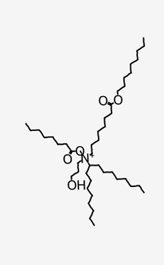 CCCCCCCCCOC(=O)CCCCCCC[N+](CCCO)(OC(=O)CCCCCCC)C(CCCCCCCC)CCCCCCCC